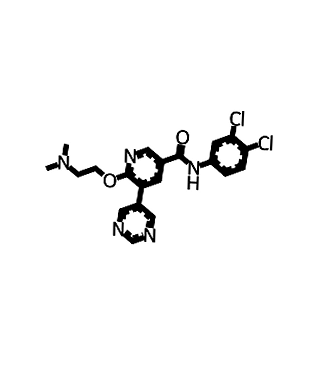 CN(C)CCOc1ncc(C(=O)Nc2ccc(Cl)c(Cl)c2)cc1-c1cncnc1